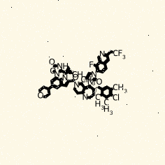 CC1=C(Cl)C(C)C(C)C(C[C@@H]2CCN=C3CCN(C(=O)c4cc5cc(C6CCOCC6)ccc5n4[C@@]4(c5noc(=O)[nH]5)C[C@@H]4C)[C@@H](C)C3=C2n2ccn(-c3ccc4cc(CC(F)(F)F)ncc4c3F)c2=O)=C1